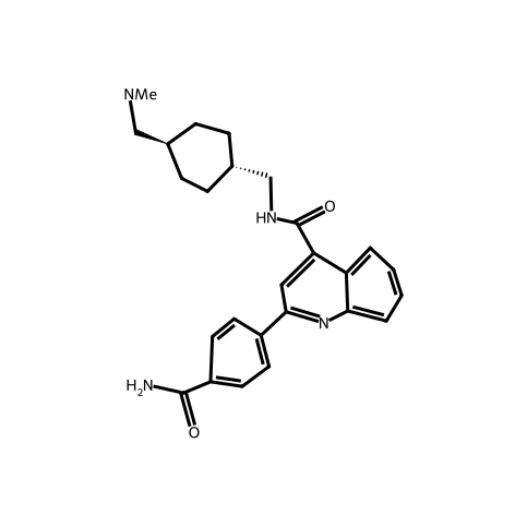 CNC[C@H]1CC[C@H](CNC(=O)c2cc(-c3ccc(C(N)=O)cc3)nc3ccccc23)CC1